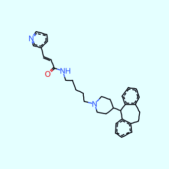 O=C(C=Cc1cccnc1)NCCCCCN1CCC(C2c3ccccc3CCc3ccccc32)CC1